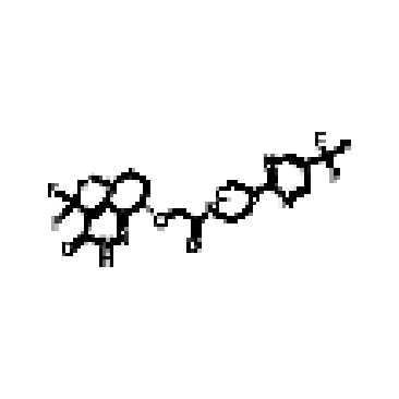 CN1CC[C@H](OCC(=O)N2CCN(c3ncc(C(F)(F)F)cn3)CC2)c2n[nH]c(=O)c(C(F)(F)F)c21